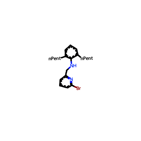 CCCCCc1cccc(CCCCC)c1NCc1cccc(Br)n1